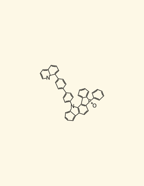 O=P1(c2ccccc2)c2ccccc2-c2c1ccc1c3ccccc3n(-c3ccc(-c4ccc(-c5cccc6cccnc56)cc4)cc3)c21